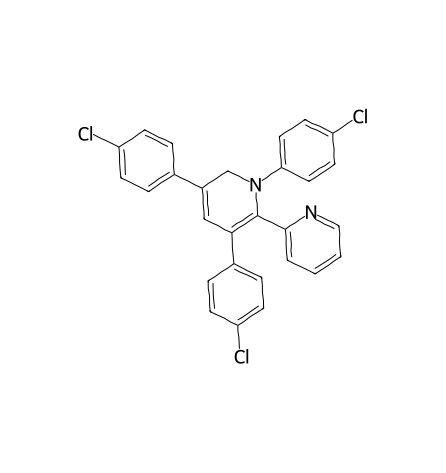 Clc1ccc(C2=CC(c3ccc(Cl)cc3)=C(c3ccccn3)N(c3ccc(Cl)cc3)C2)cc1